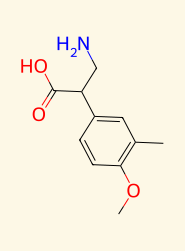 COc1ccc(C(CN)C(=O)O)cc1C